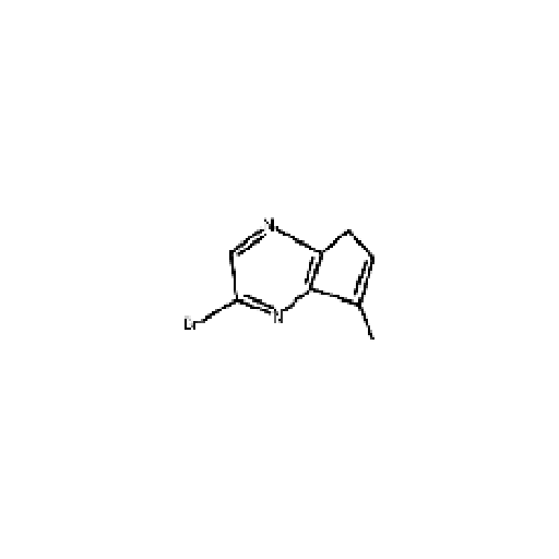 CC1=CCc2ncc(Br)nc21